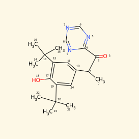 CC(C(=O)c1ncncn1)c1cc(C(C)(C)C)c(O)c(C(C)(C)C)c1